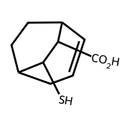 O=C(O)C1C2C=CCC(CC2)C1S